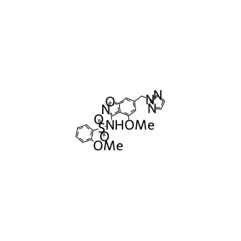 COc1ccccc1S(=O)(=O)Nc1noc2cc(Cn3nccn3)cc(OC)c12